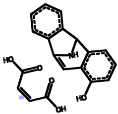 O=C(O)/C=C\C(=O)O.Oc1cccc2c1C=C1NC2c2ccccc21